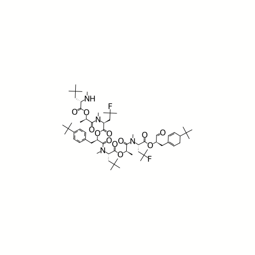 CN[C@@H](CC(C)(C)C)C(=O)O[C@H](C)C(=O)N(C)[C@@H](CC(C)(C)F)C(=O)O[C@H](Cc1ccc(C(C)(C)C)cc1)C(=O)N(C)[C@@H](CC(C)(C)C)C(=O)O[C@H](C)C(=O)N(C)[C@@H](CC(C)(C)F)C(=O)O[C@@H](C=O)CC1=CCC(C(C)(C)C)C=C1